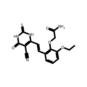 CCOc1cccc(/C=C/c2[nH]c(=S)[nH]c(=O)c2C#N)c1OCC(N)=O